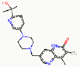 Cc1c(C(F)(F)F)c(=O)[nH]c2cc(CN3CCN(c4ccc(C(C)(C)O)nc4)CC3)cnc12